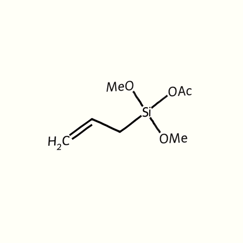 C=CC[Si](OC)(OC)OC(C)=O